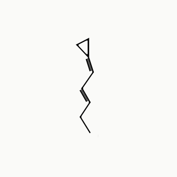 CCCCC=CC=C1CC1